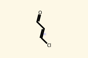 O=C/C=C/Cl